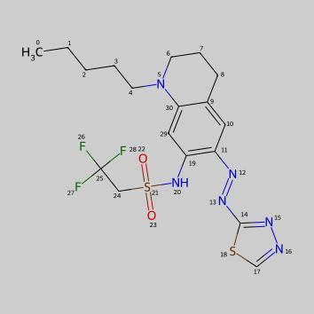 CCCCCN1CCCc2cc(N=Nc3nncs3)c(NS(=O)(=O)CC(F)(F)F)cc21